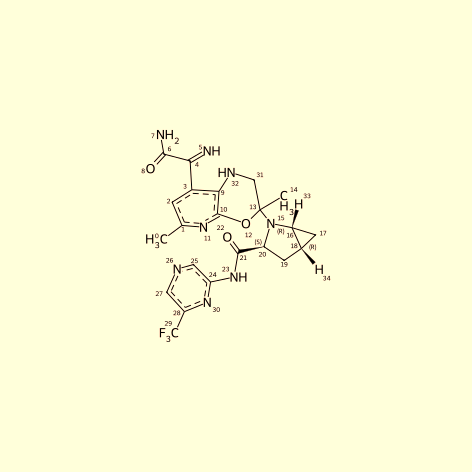 Cc1cc(C(=N)C(N)=O)c2c(n1)OC(C)(N1[C@@H]3C[C@@H]3C[C@H]1C(=O)Nc1cncc(C(F)(F)F)n1)CN2